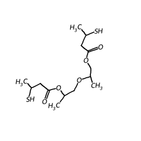 CC(S)CC(=O)OCC(C)OCC(C)OC(=O)CC(C)S